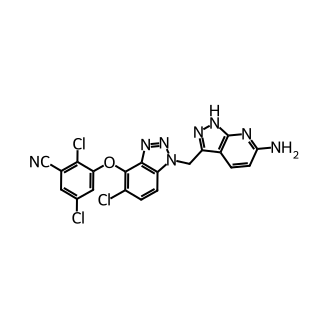 N#Cc1cc(Cl)cc(Oc2c(Cl)ccc3c2nnn3Cc2n[nH]c3nc(N)ccc23)c1Cl